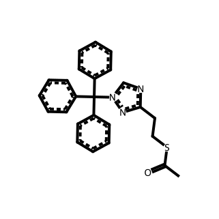 CC(=O)SCCc1ncn(C(c2ccccc2)(c2ccccc2)c2ccccc2)n1